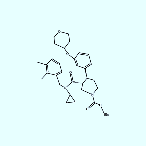 Cc1cccc(CN(C(=O)[C@H]2CN(C(=O)OC(C)(C)C)CC[C@@H]2c2cccc(OC3CCOCC3)c2)C2CC2)c1C